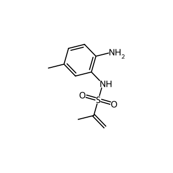 C=C(C)S(=O)(=O)Nc1cc(C)ccc1N